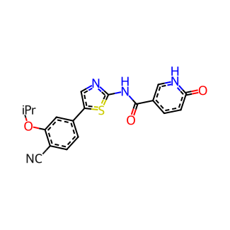 CC(C)Oc1cc(-c2cnc(NC(=O)c3ccc(=O)[nH]c3)s2)ccc1C#N